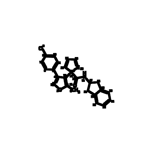 Cc1onc(-c2ccc(Cl)cc2)c1[N+]1(C(=O)NC2Cc3ccccc3C2)C=CC=N1